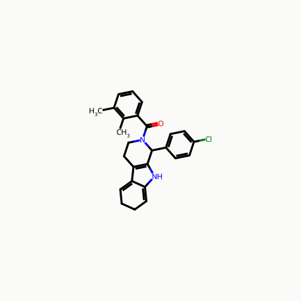 Cc1cccc(C(=O)N2CCc3c([nH]c4c3=CCCC=4)C2c2ccc(Cl)cc2)c1C